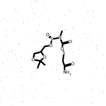 CN(C(=O)OSCC(N)=O)S(=O)OCC1COC(C)(C)O1